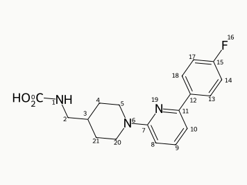 O=C(O)NCC1CCN(c2cccc(-c3ccc(F)cc3)n2)CC1